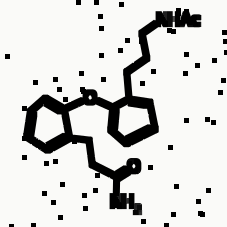 CC(=O)NCCCc1ccccc1Oc1ccccc1CCC(N)=O